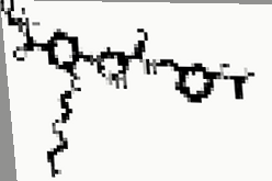 O=C(NCC(F)(F)F)c1ccc(-n2cc(C(=O)NCc3cccc(OC(F)F)c3)nn2)c(OCCOCCF)c1